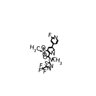 CCS(=O)(=O)c1cc(-c2ccnc(F)c2)cnc1C(=O)N(C)c1nnc(C(F)(F)F)s1